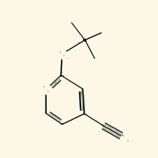 CC(C)(C)Nc1cc(C#N)ccn1